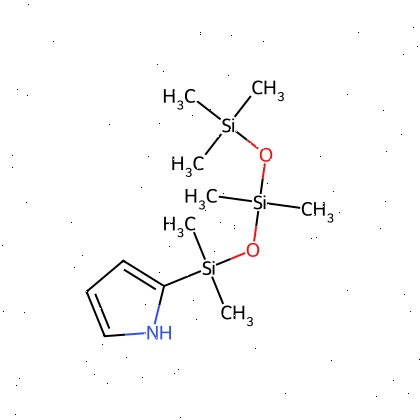 C[Si](C)(C)O[Si](C)(C)O[Si](C)(C)c1ccc[nH]1